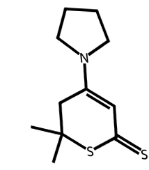 CC1(C)CC(N2CCCC2)=CC(=S)S1